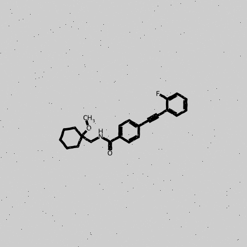 COC1(CNC(=O)c2ccc(C#Cc3ccccc3F)cc2)CCCCC1